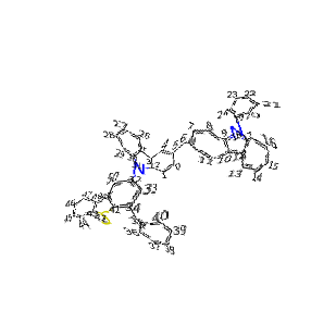 C1=CC2C(C=C1c1ccc3c(c1)c1ccccc1n3-c1ccccc1)c1ccccc1N2c1cc(-c2ccccc2)c2sc3ccccc3c2c1